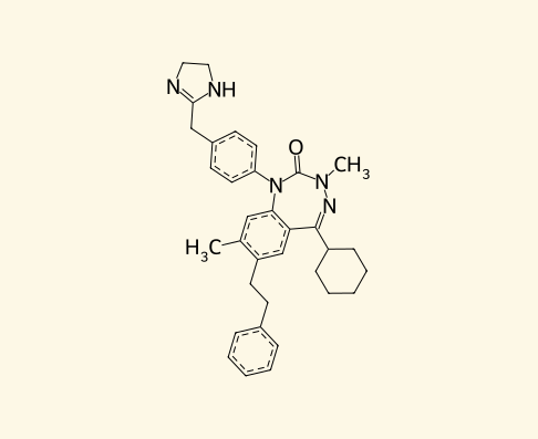 Cc1cc2c(cc1CCc1ccccc1)C(C1CCCCC1)=NN(C)C(=O)N2c1ccc(CC2=NCCN2)cc1